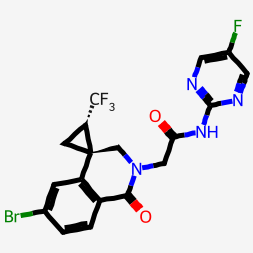 O=C(CN1C[C@]2(C[C@@H]2C(F)(F)F)c2cc(Br)ccc2C1=O)Nc1ncc(F)cn1